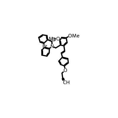 C#CCOc1ccc(/C=C/c2cc(OC)cc(OC)c2CN(C(=O)c2ccccc2Br)c2ccccc2)cc1